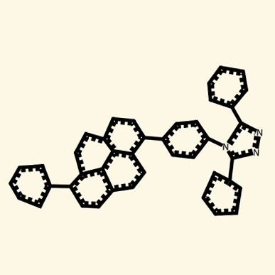 c1ccc(-c2ccc3ccc4c(-c5ccc(-n6c(-c7ccccc7)nnc6-c6ccccc6)cc5)ccc5ccc2c3c54)cc1